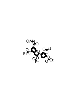 CCC(=O)Oc1ccc([C@H]2Oc3cc(OC(=O)OC)cc(OC(=O)CC)c3C[C@H]2OC(=O)CC)cc1OC(=O)CC